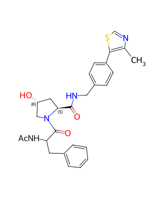 CC(=O)NC(Cc1ccccc1)C(=O)N1C[C@H](O)C[C@H]1C(=O)NCc1ccc(-c2scnc2C)cc1